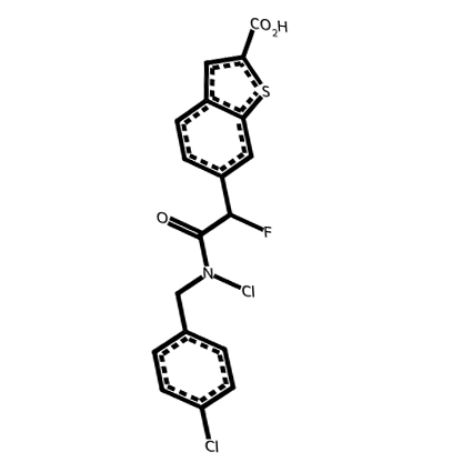 O=C(O)c1cc2ccc(C(F)C(=O)N(Cl)Cc3ccc(Cl)cc3)cc2s1